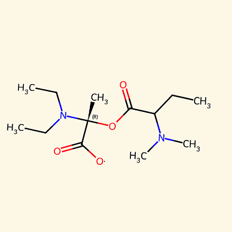 CCC(C(=O)O[C@](C)(C([O])=O)N(CC)CC)N(C)C